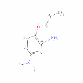 CN(C)c1ccc(OCCC(F)(F)F)c(N)c1